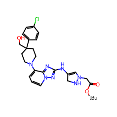 CC(C)(C)OC(=O)CN1C=C(Nc2nc3c(N4CCC(CO)(c5ccc(Cl)cc5)CC4)cccn3n2)CN1